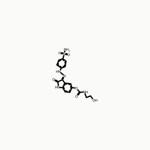 NS(=O)(=O)c1ccc(NN=C2C(=O)Nc3ccc(OC(=O)NCCO)cc32)cc1